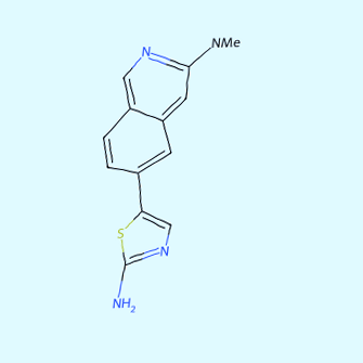 CNc1cc2cc(-c3cnc(N)s3)ccc2cn1